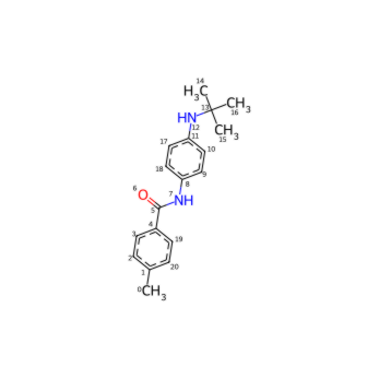 Cc1ccc(C(=O)Nc2ccc(NC(C)(C)C)cc2)cc1